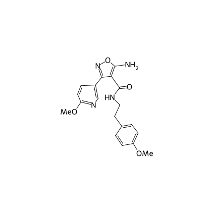 COc1ccc(CCNC(=O)c2c(-c3ccc(OC)nc3)noc2N)cc1